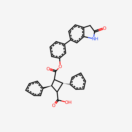 O=C1Cc2ccc(-c3cccc(OC(=O)C4[C@H](c5ccccc5)C(C(=O)O)[C@H]4c4ccccc4)c3)cc2N1